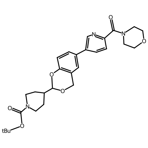 CC(C)(C)OC(=O)N1CCC(C2OCc3cc(-c4ccc(C(=O)N5CCOCC5)nc4)ccc3O2)CC1